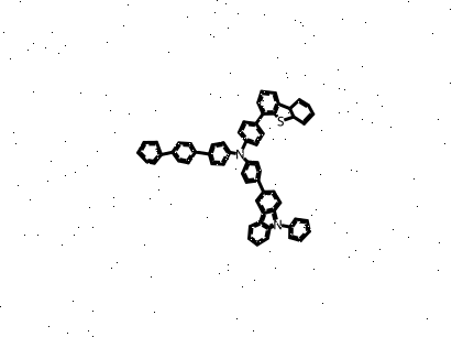 C1=CC2Sc3c(-c4ccc(N(c5ccc(-c6ccc(-c7ccccc7)cc6)cc5)c5ccc(-c6ccc7c(c6)c6ccccc6n7-c6ccccc6)cc5)cc4)cccc3C2C=C1